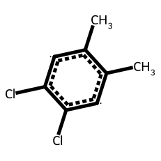 Cc1[c]c(Cl)c(Cl)[c]c1C